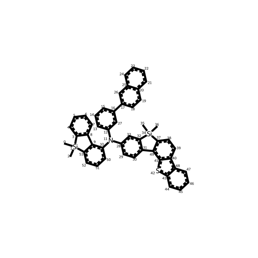 C[Si]1(C)c2ccccc2-c2c(N(c3cccc(-c4ccc5ccccc5c4)c3)c3ccc4c(c3)[Si](C)(C)c3ccc5c(sc6ccccc65)c3-4)cccc21